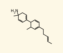 C/C=C/CCC1=CC(C)C(C2=CCC(C)(N)C=C2)C=C1